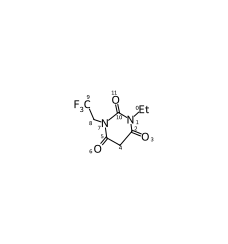 CCN1C(=O)CC(=O)N(CC(F)(F)F)C1=O